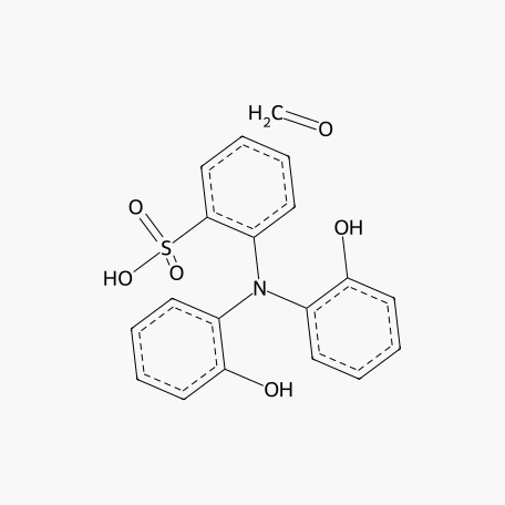 C=O.O=S(=O)(O)c1ccccc1N(c1ccccc1O)c1ccccc1O